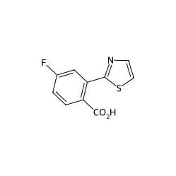 O=C(O)c1ccc(F)cc1-c1nccs1